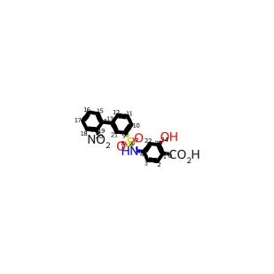 O=C(O)c1ccc(NS(=O)(=O)c2cccc(-c3ccccc3[N+](=O)[O-])c2)cc1O